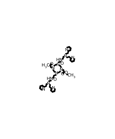 CCOC(=O)CN1CCN(CCC(=O)NCCN(CCc2ccccn2)CCc2ccccn2)CCN(CC(C)=O)CCN(CC(=O)NCCN(CCc2ccccn2)CCc2ccccn2)CC1